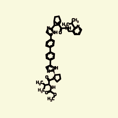 COC(=O)N[C@H](C(=O)N1CCC[C@H]1c1ncc(-c2ccc(-c3ccc(-c4cnc(C5C6CCC(C6)C5C(=O)NCc5cccnc5C(C)C)[nH]4)cc3)cc2)[nH]1)C(C)C